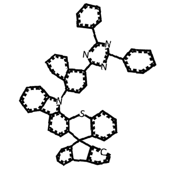 c1ccc(-c2nc(-c3ccccc3)nc(-c3ccc(-n4c5ccccc5c5ccc6c(c54)Sc4ccccc4C64c5ccccc5-c5ccccc54)c4ccccc34)n2)cc1